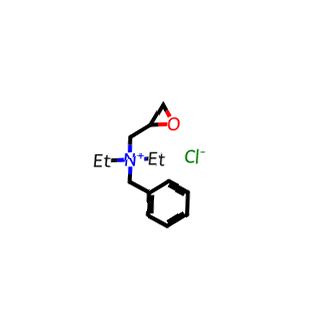 CC[N+](CC)(Cc1ccccc1)CC1CO1.[Cl-]